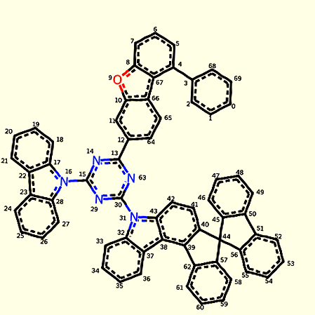 c1ccc(-c2cccc3oc4cc(-c5nc(-n6c7ccccc7c7ccccc76)nc(-n6c7ccccc7c7c8c(ccc76)C6(c7ccccc7-c7ccccc76)c6ccccc6-8)n5)ccc4c23)cc1